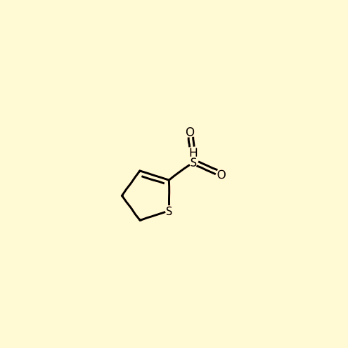 O=[SH](=O)C1=CCCS1